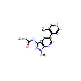 CCCCCC(=O)Nc1nn(C)c2ncc(-c3ccncc3CC)cc12